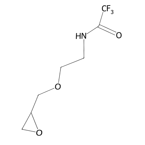 O=C(NCCOCC1CO1)C(F)(F)F